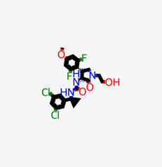 COc1cc(F)c([C@@H]2CN(CCO)C(=O)[C@H]2NC(=O)NC2(c3cc(Cl)cc(Cl)c3)CC2)c(F)c1